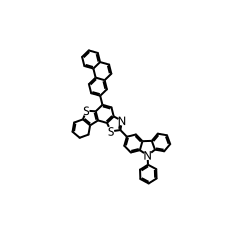 C1=Cc2sc3c(-c4ccc5c(ccc6ccccc65)c4)cc4nc(-c5ccc6c(c5)c5ccccc5n6-c5ccccc5)sc4c3c2CC1